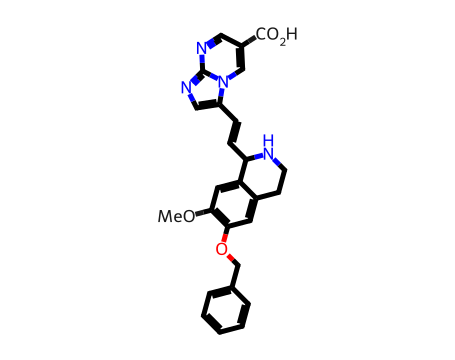 COc1cc2c(cc1OCc1ccccc1)CCNC2/C=C/c1cnc2ncc(C(=O)O)cn12